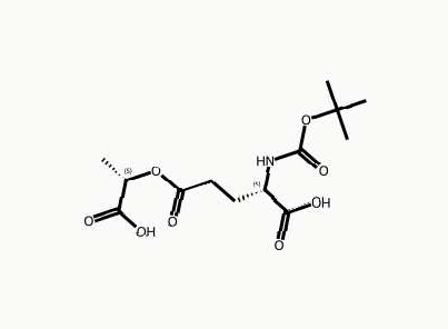 C[C@H](OC(=O)CC[C@H](NC(=O)OC(C)(C)C)C(=O)O)C(=O)O